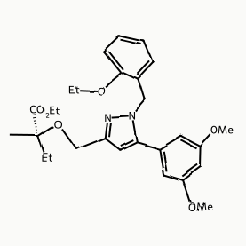 CCOC(=O)[C@@](C)(CC)OCc1cc(-c2cc(OC)cc(OC)c2)n(Cc2ccccc2OCC)n1